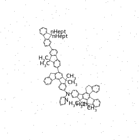 CCCCCCCC1(CCCCCCC)c2ccccc2-c2ccc(-c3ccc4c(c3)C(C)(C)c3cc(-c5cc6c(c7c5Cc5ccccc5-7)-c5ccc(N(c7ccc8c(c7)C(C)(C)c7c-8c8c(c9c7C(C)(C)c7ccccc7-9)-c7ccccc7CC8)c7ccccn7)cc5C6(C)C)ccc3-4)cc21